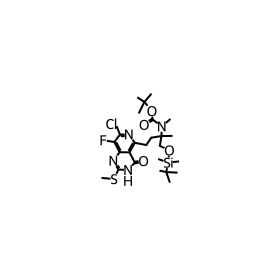 CSc1nc2c(F)c(Cl)nc(CCC(C)(CO[Si](C)(C)C(C)(C)C)N(C)C(=O)OC(C)(C)C)c2c(=O)[nH]1